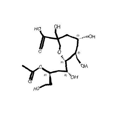 CC(=O)O[C@H](CO)[C@@H](O)[C@@H]1OC(O)(C(=O)O)C[C@H](O)[C@H]1O